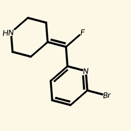 FC(=C1CCNCC1)c1cccc(Br)n1